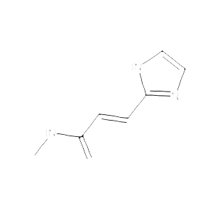 CNC(=O)/C=C/c1ncc[nH]1